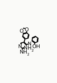 Nc1ncc(-c2ccc3c(c2)OCO3)c(N)n1.Oc1ccccc1